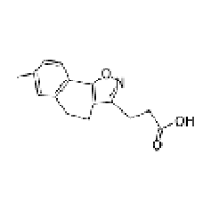 Cc1ccc2c(c1)CCc1c(CCC(=O)O)noc1-2